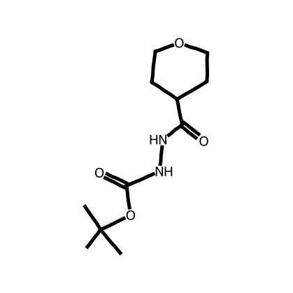 CC(C)(C)OC(=O)NNC(=O)C1CCOCC1